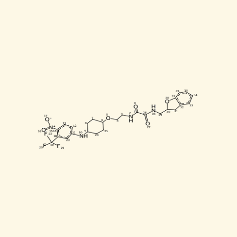 O=C(NCCOC1CCC(Nc2ccc([N+](=O)[O-])c(C(F)(F)F)c2)CC1)C(=O)NCC1Cc2ccccc2O1